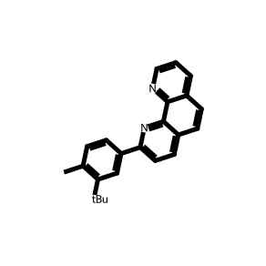 Cc1ccc(-c2ccc3ccc4cccnc4c3n2)cc1C(C)(C)C